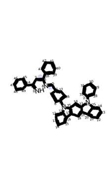 N=C(/C=C(\N=C\c1ccc(-n2c3ccccc3c3cc4c5ccccc5n(-c5ccccc5)c4cc32)cc1)c1ccccc1)c1ccccc1